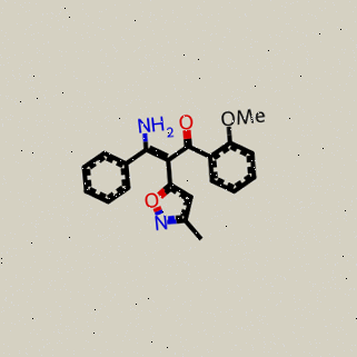 COc1ccccc1C(=O)C(=C(N)c1ccccc1)c1cc(C)no1